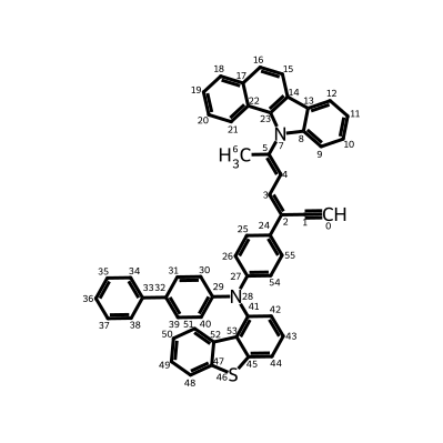 C#C/C(=C\C=C(/C)n1c2ccccc2c2ccc3ccccc3c21)c1ccc(N(c2ccc(-c3ccccc3)cc2)c2cccc3sc4ccccc4c23)cc1